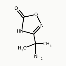 CC(C)(N)c1noc(=O)[nH]1